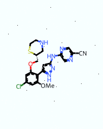 COc1cc(Cl)cc(OC[C@H]2CNCCS2)c1-c1cc(Nc2cnc(C#N)cn2)n[nH]1